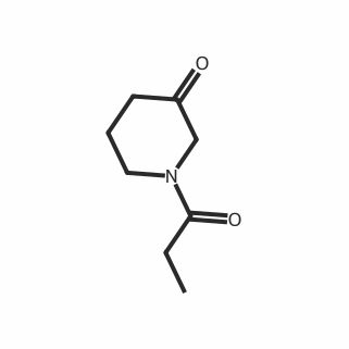 CCC(=O)N1CCCC(=O)C1